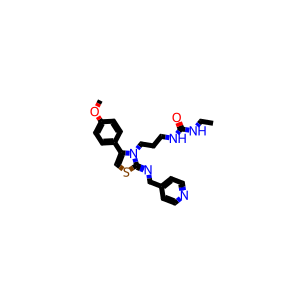 CCNC(=O)NCCCn1c(-c2ccc(OC)cc2)cs/c1=N\Cc1ccncc1